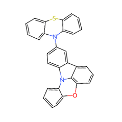 c1ccc2c(c1)Oc1cccc3c4cc(N5c6ccccc6Sc6ccccc65)ccc4n-2c13